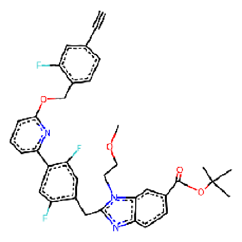 C#Cc1ccc(COc2cccc(-c3cc(F)c(Cc4nc5ccc(C(=O)OC(C)(C)C)cc5n4CCOC)cc3F)n2)c(F)c1